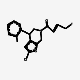 Cc1ccccc1C1CN(C(=O)/C=C/CF)Cc2sc(Cl)cc21